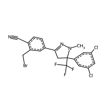 CN1N=C(c2ccc(C#N)c(CBr)c2)CC1(c1cc(Cl)cc(Cl)c1)C(F)(F)F